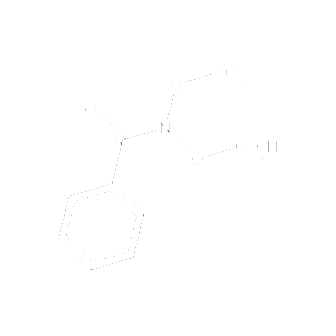 O=C(O)ON(OC(=O)O)C(=O)c1ccccc1